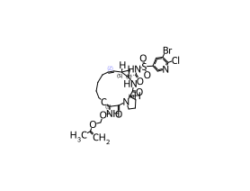 C=C(C)OCON[C@H]1CCCCC/C=C\[C@@H]2C[C@@]2(C(=O)NS(=O)(=O)c2cnc(Cl)c(Br)c2)NC(=O)[C@@H]2CCCN2C1=O